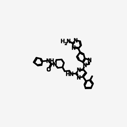 Cc1ccccc1-c1cc(-n2cnc3cc(-c4ccnc(N)n4)ccc32)nc(NCCC2CCCN(C(=O)Nc3ccccc3)C2)n1